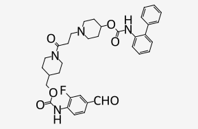 O=Cc1ccc(NC(=O)OCC2CCN(C(=O)CCN3CCC(OC(=O)Nc4ccccc4-c4ccccc4)CC3)CC2)c(F)c1